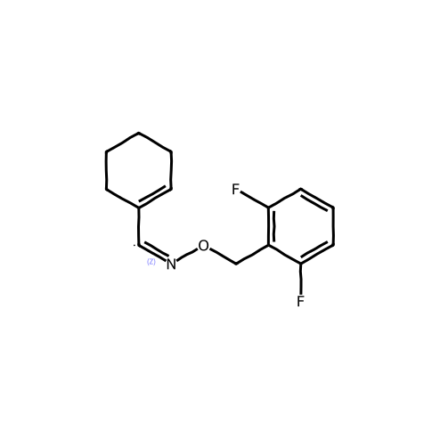 Fc1cccc(F)c1CO/N=[C]\C1=CCCCC1